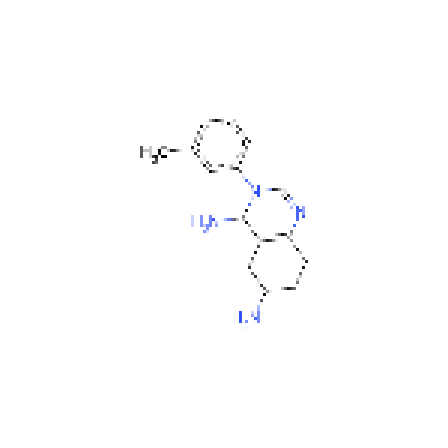 Cc1cccc(N2C=NC3=C(CC(N)CC3)C2N)c1